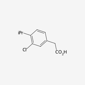 CC(C)c1ccc(CC(=O)O)cc1Cl